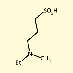 CCN(C)CCCS(=O)(=O)O